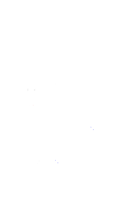 CCCCOc1cc2c(c(C)c1C(=O)Oc1ccccc1)N(C)CC1CCN(C)C21